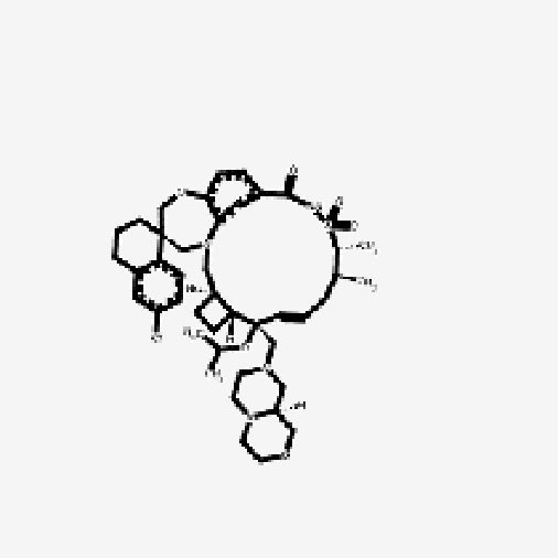 CC(C)O[C@@]1(CN2CCN3CCOC[C@@H]3C2)/C=C/C[C@H](C)[C@@H](C)S(=O)(=O)NC(=O)c2ccc3c(c2)N(C[C@@H]2CC[C@H]21)C[C@@]1(CCCc2cc(Cl)ccc21)CO3